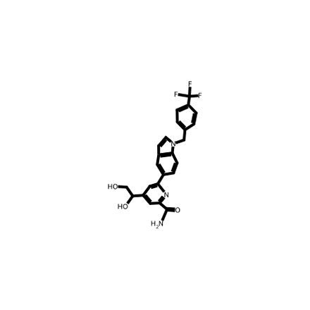 NC(=O)c1cc(C(O)CO)cc(-c2ccc3c(ccn3Cc3ccc(C(F)(F)F)cc3)c2)n1